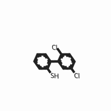 Sc1ccccc1-c1cc(Cl)ccc1Cl